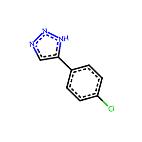 Clc1ccc(-c2cnn[nH]2)cc1